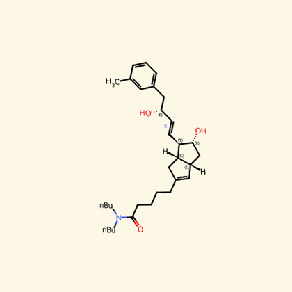 CCCCN(CCCC)C(=O)CCCCC1=C[C@H]2C[C@@H](O)[C@H](/C=C/[C@H](O)Cc3cccc(C)c3)[C@H]2C1